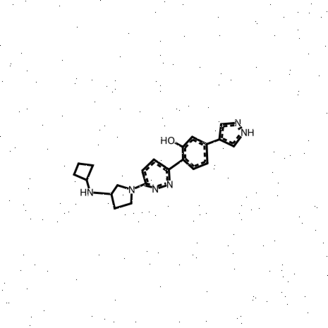 Oc1cc(-c2cn[nH]c2)ccc1-c1ccc(N2CCC(NC3CCC3)C2)nn1